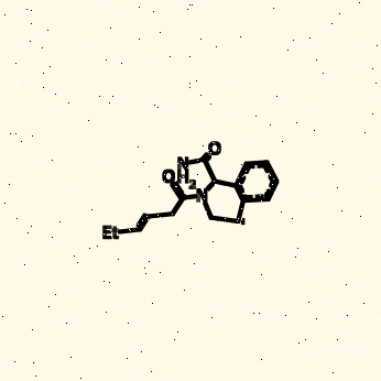 CCC=CCC(=O)N1C[C]c2ccccc2C1C(N)=O